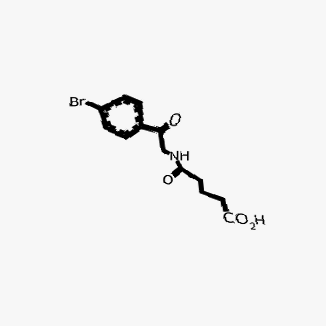 O=C(O)CCCC(=O)NCC(=O)c1ccc(Br)cc1